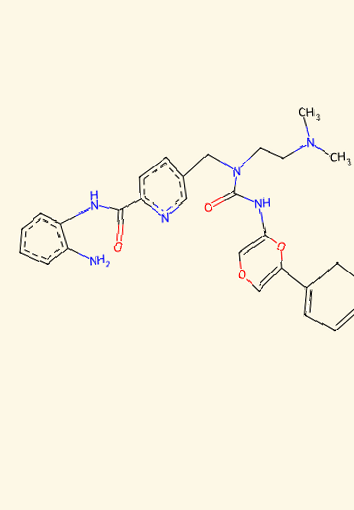 CN(C)CCN(Cc1ccc(C(=O)Nc2ccccc2N)nc1)C(=O)NC1=COC=C(C2=CC=CCC2)O1